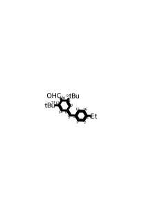 CCc1ccc(C=C2C=C(C(C)(C)C)C(C=O)C(C(C)(C)C)=C2)cc1